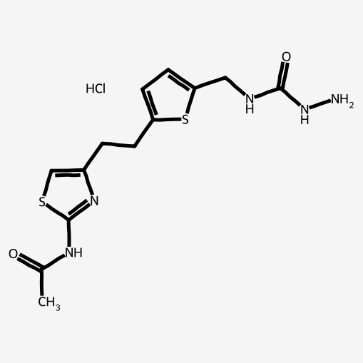 CC(=O)Nc1nc(CCc2ccc(CNC(=O)NN)s2)cs1.Cl